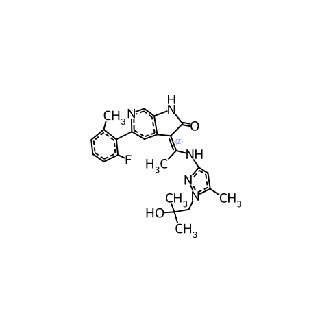 C/C(Nc1cc(C)n(CC(C)(C)O)n1)=C1/C(=O)Nc2cnc(-c3c(C)cccc3F)cc21